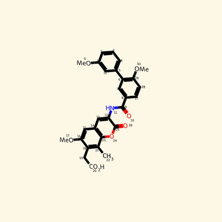 COc1cccc(-c2cc(C(=O)Nc3cc4cc(OC)c(CC(=O)O)c(C)c4oc3=O)ccc2OC)c1